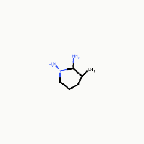 CC1CCCN(N)C1N